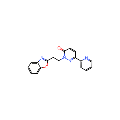 O=c1ccc(-c2ccccn2)nn1CCc1nc2ccccc2o1